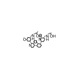 COc1cc(CNC[C@@H](C)O)cc(-c2nccc(-c3cccc(-c4ccc(CNC[C@H](C)O)c(OC)n4)c3Cl)c2Cl)c1